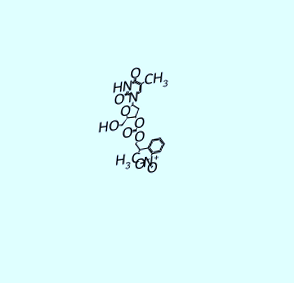 Cc1cn([C@H]2CC(OC(=O)OCC(C)c3ccccc3[N+](=O)[O-])[C@@H](CO)O2)c(=O)[nH]c1=O